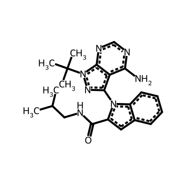 CC(C)CNC(=O)c1cc2ccccc2n1-c1nn(C(C)(C)C)c2ncnc(N)c12